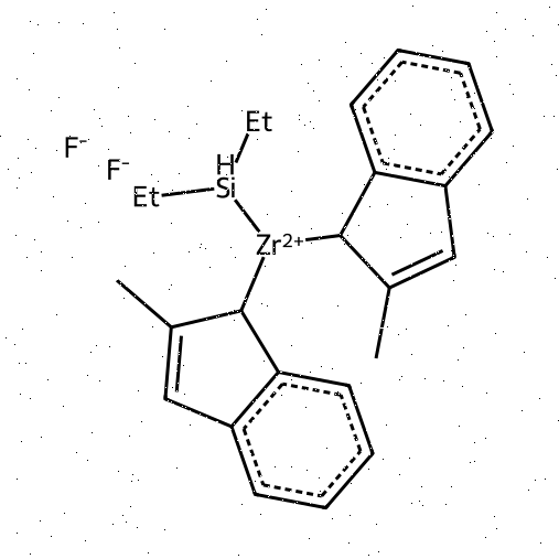 CC[SiH](CC)[Zr+2]([CH]1C(C)=Cc2ccccc21)[CH]1C(C)=Cc2ccccc21.[F-].[F-]